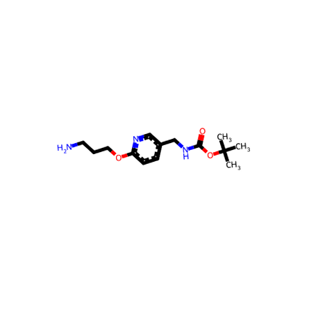 CC(C)(C)OC(=O)NCc1ccc(OCCCN)nc1